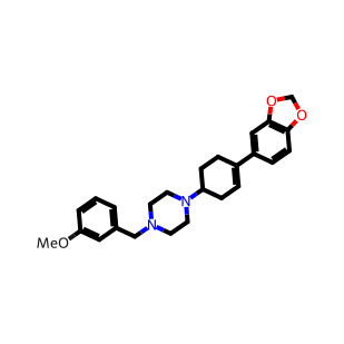 COc1cccc(CN2CCN(C3CC=C(c4ccc5c(c4)OCO5)CC3)CC2)c1